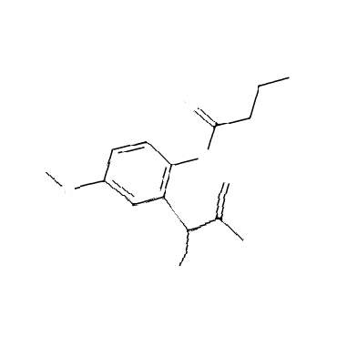 C=C(C)C(C)c1cc(OC)ccc1OC(=O)CCC